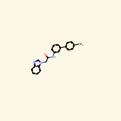 Cc1ccc(-c2cccc(NC(=O)Cn3cnc4ccccc43)c2)cc1